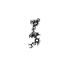 CCC(C)COc1cc([C@H](NS(=O)(=O)CCCOCn2ccc(=O)[nH]c2=O)C2CC2)ccc1F